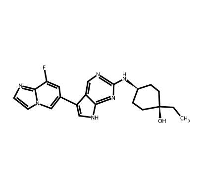 CC[C@]1(O)CC[C@@H](Nc2ncc3c(-c4cc(F)c5nccn5c4)c[nH]c3n2)CC1